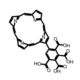 O=C(O)c1cc(C2=CC3=CC4=NC(=CC5=NC(=CC6=NC(=CC2=N3)C=C6)C=C5)C=C4)c(C(=O)O)c(C(=O)O)c1C(=O)O